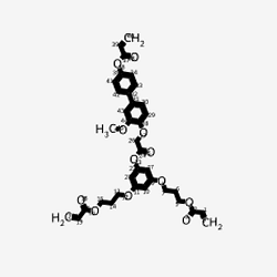 C=CC(=O)OCCCOc1cc(OCCCOC(=O)C=C)cc(OC(=O)COc2ccc(-c3ccc(OC(=O)C=C)cc3)cc2OC)c1